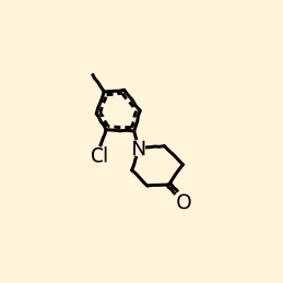 Cc1ccc(N2CCC(=O)CC2)c(Cl)c1